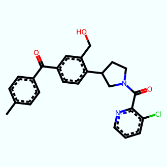 Cc1ccc(C(=O)c2ccc(C3CCN(C(=O)c4ncccc4Cl)C3)c(CO)c2)cc1